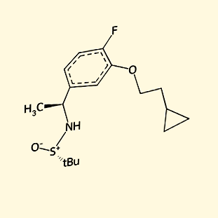 C[C@H](N[S@@+]([O-])C(C)(C)C)c1ccc(F)c(OCCC2CC2)c1